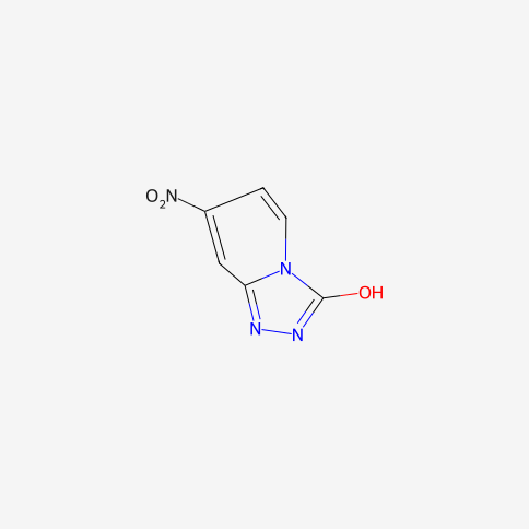 O=[N+]([O-])c1ccn2c(O)nnc2c1